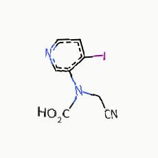 N#CCN(C(=O)O)c1cnccc1I